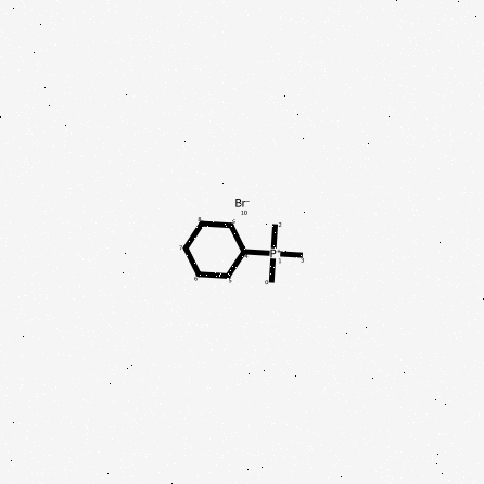 C[P+](C)(C)C1CCCCC1.[Br-]